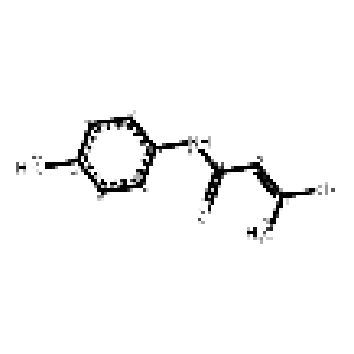 C/C(Cl)=C\C(=O)Nc1ccc(C)cc1